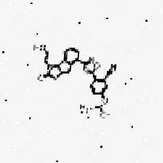 CC(C)Oc1ccc(-c2nc(-c3cccc4c3CC3CC(=O)N(CCO)C43)no2)c(C#N)c1